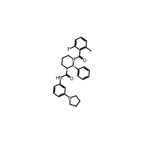 Cc1cccc(F)c1C(=O)N1CCC[C@H](C(=O)Nc2cccc(N3CCCC3)c2)[C@@H]1c1ccccc1